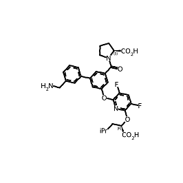 CC(C)C[C@@H](Oc1nc(Oc2cc(C(=O)N3CCC[C@H]3C(=O)O)cc(-c3cccc(CN)c3)c2)c(F)cc1F)C(=O)O